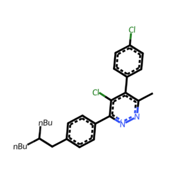 CCCCC(CCCC)Cc1ccc(-c2nnc(C)c(-c3ccc(Cl)cc3)c2Cl)cc1